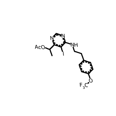 CC(=O)OC(C)c1ncnc(NCCc2ccc(OC(F)(F)F)cc2)c1I